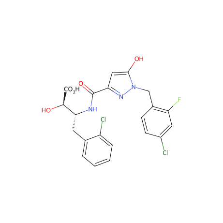 O=C(N[C@H](Cc1ccccc1Cl)[C@@H](O)C(=O)O)c1cc(O)n(Cc2ccc(Cl)cc2F)n1